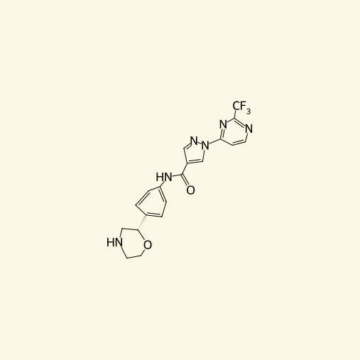 O=C(Nc1ccc([C@H]2CNCCO2)cc1)c1cnn(-c2ccnc(C(F)(F)F)n2)c1